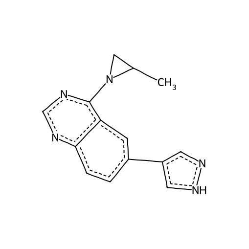 CC1CN1c1ncnc2ccc(-c3cn[nH]c3)cc12